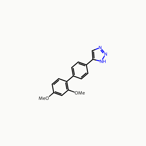 COc1ccc(-c2ccc(-c3cnn[nH]3)cc2)c(OC)c1